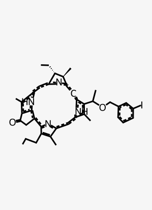 CCCC1=C(C)c2cc3[nH]c(cc4nc(cc5[nH]c6c(c1n2)CC(=O)c6c5C)[C@H](CC)[C@H]4C)c(C(C)OCc1cccc(I)c1)c3C